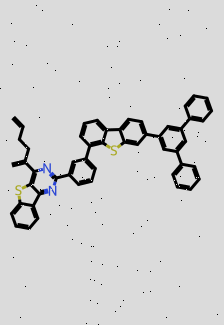 C=CCCC(=C)c1nc(-c2cccc(-c3cccc4c3sc3cc(-c5cc(-c6ccccc6)cc(-c6ccccc6)c5)ccc34)c2)nc2c1sc1ccccc12